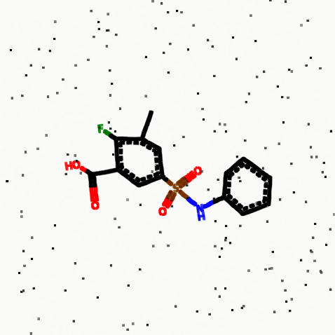 Cc1cc(S(=O)(=O)Nc2ccccc2)cc(C(=O)O)c1F